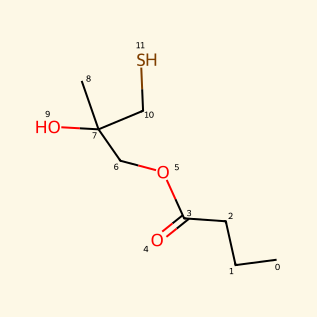 CCCC(=O)OCC(C)(O)CS